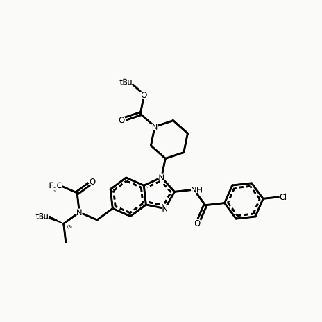 C[C@H](N(Cc1ccc2c(c1)nc(NC(=O)c1ccc(Cl)cc1)n2C1CCCN(C(=O)OC(C)(C)C)C1)C(=O)C(F)(F)F)C(C)(C)C